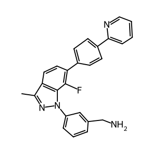 Cc1nn(-c2cccc(CN)c2)c2c(F)c(-c3ccc(-c4ccccn4)cc3)ccc12